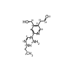 CCN/N=C\N(N)c1cc(CO)c(CC=O)cn1